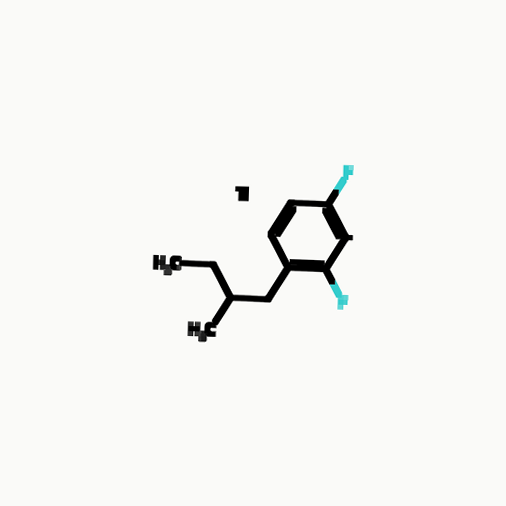 CCC(C)Cc1ccc(F)[c]c1F.[Ti]